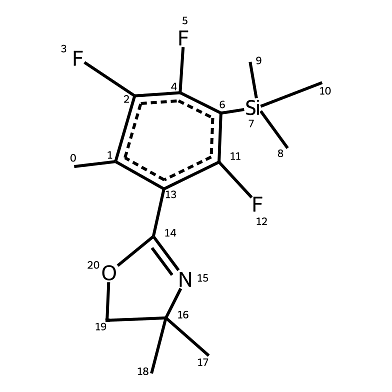 Cc1c(F)c(F)c([Si](C)(C)C)c(F)c1C1=NC(C)(C)CO1